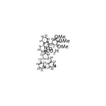 COc1cc([C@@H](C(=O)N2CCCC[C@@]2(C(=O)O)C(CCCc2cccnc2)CCCc2cccnc2)[C@@H]2C=CCCC2)cc(OC)c1OC